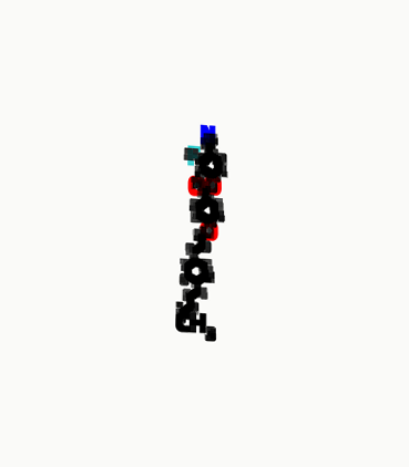 CCCCC[C@H]1CC[C@H](CCCOc2ccc(C(=O)Oc3ccc(C#N)c(F)c3)cc2)CC1